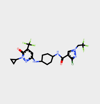 O=C(NC1CCC(Nc2cc(C(F)(F)F)c(=O)n(C3CC3)n2)CC1)c1cn(CC(F)(F)F)nc1Cl